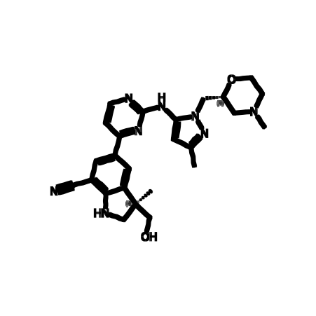 Cc1cc(Nc2nccc(-c3cc(C#N)c4c(c3)[C@@](C)(CO)CN4)n2)n(C[C@H]2CN(C)CCO2)n1